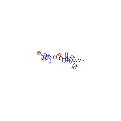 CCC(C)CC(=O)N1[C@@H](C)CC[C@H]1c1ncc(-c2ccc3c(c2)COc2cc4c(ccc5nc([C@@H]6CC[C@H](C)N6C(=O)[C@@H](NC)C6CC(C)O[C@H](C)C6)[nH]c54)cc2-3)[nH]1